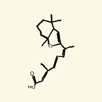 C/C(=C/C=C/C(C)=C/C(=O)O)C1=CC2C(C)(C)CCCC2(C)O1